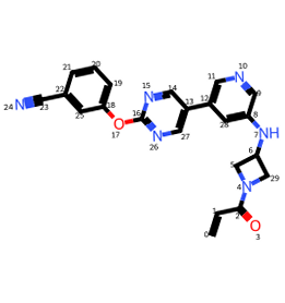 C=CC(=O)N1CC(Nc2cncc(-c3cnc(Oc4cccc(C#N)c4)nc3)c2)C1